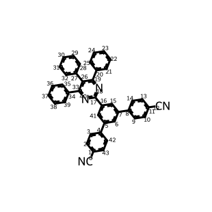 N#Cc1ccc(-c2cc(-c3ccc(C#N)cc3)cc(-c3nc(-c4ccccc4)c(-c4ccccc4)c(-c4ccccc4)n3)c2)cc1